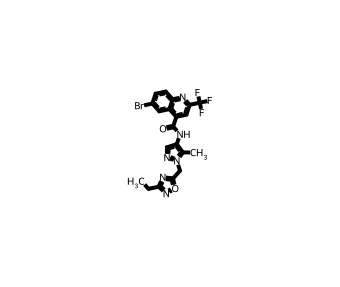 CCc1noc(Cn2ncc(NC(=O)c3cc(C(F)(F)F)nc4ccc(Br)cc34)c2C)n1